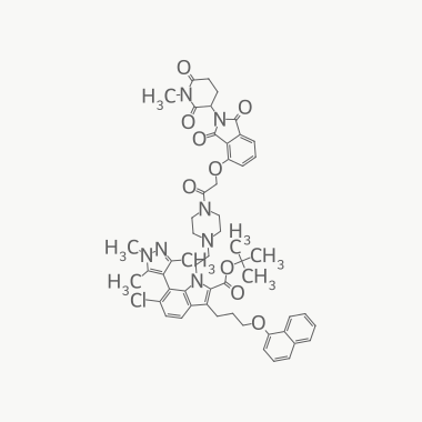 Cc1nn(C)c(C)c1-c1c(Cl)ccc2c(CCCOc3cccc4ccccc34)c(C(=O)OC(C)(C)C)n(CCN3CCN(C(=O)COc4cccc5c4C(=O)N(C4CCC(=O)N(C)C4=O)C5=O)CC3)c12